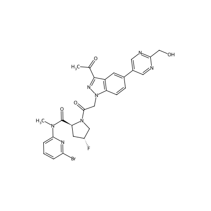 CC(=O)c1nn(CC(=O)N2C[C@H](F)C[C@H]2C(=O)N(C)c2cccc(Br)n2)c2ccc(-c3cnc(CO)nc3)cc12